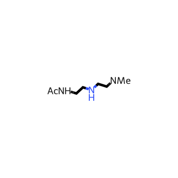 CNCCNCCNC(C)=O